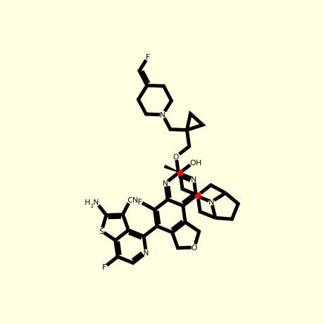 C[C@@H](O)CN1CC2CCC(C1)N2c1nc(OCC2(CN3CCC(=CF)CC3)CC2)nc2c(F)c(-c3ncc(F)c4sc(N)c(C#N)c34)c3c(c12)COC3